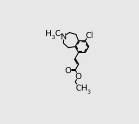 CCOC(=O)C=Cc1ccc(Cl)c2c1CCN(C)CC2